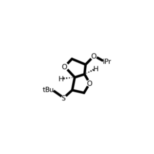 CC(C)OC1CO[C@@H]2C(SC(C)(C)C)CO[C@H]12